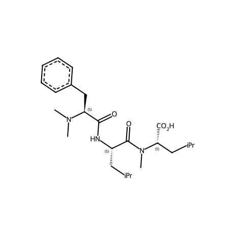 CC(C)C[C@H](NC(=O)[C@H](Cc1ccccc1)N(C)C)C(=O)N(C)[C@@H](CC(C)C)C(=O)O